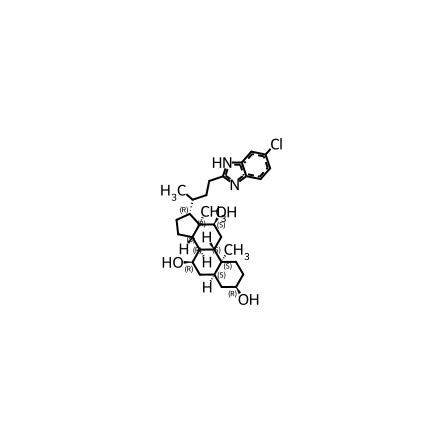 CC(CCc1nc2ccc(Cl)cc2[nH]1)[C@H]1CC[C@H]2[C@@H]3[C@H](O)C[C@@H]4C[C@H](O)CC[C@]4(C)[C@H]3C[C@H](O)[C@]12C